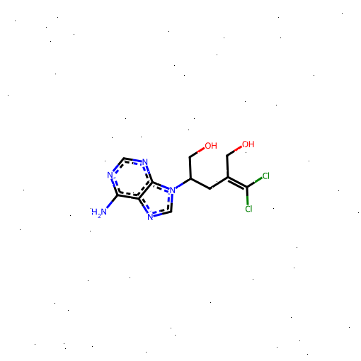 Nc1ncnc2c1ncn2C(CO)CC(CO)=C(Cl)Cl